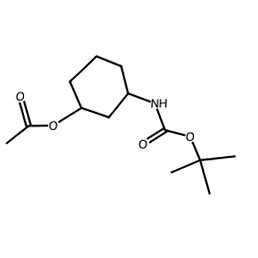 CC(=O)OC1CCCC(NC(=O)OC(C)(C)C)C1